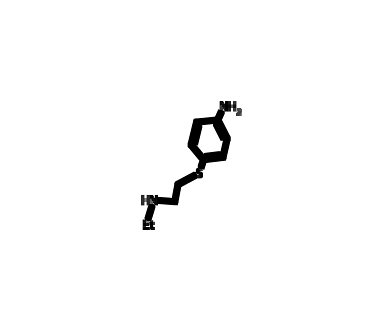 CCNCCSc1ccc(N)cc1